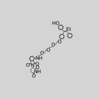 CCC(=C(c1ccc(O)cc1)c1ccc(OCCOCCOCCOCCNc2cccc3c2C(=O)N(C2CCC(=O)NC2=O)C3=O)cc1)c1ccccc1